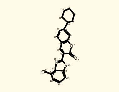 O=c1oc2cc(C3CCCCC3)ccc2cc1-c1nc2c(Cl)cccc2s1